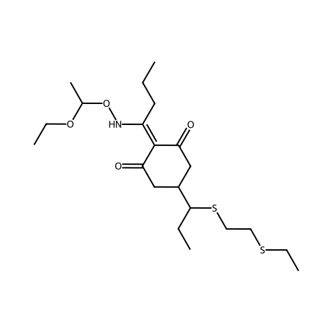 CCCC(NOC(C)OCC)=C1C(=O)CC(C(CC)SCCSCC)CC1=O